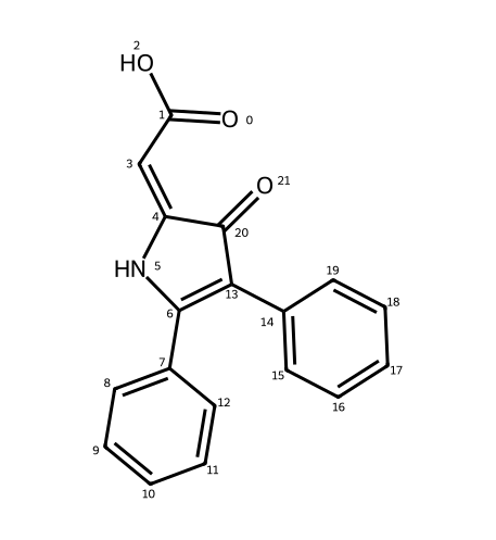 O=C(O)C=C1NC(c2ccccc2)=C(c2ccccc2)C1=O